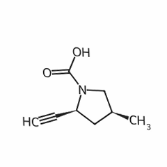 C#C[C@@H]1C[C@H](C)CN1C(=O)O